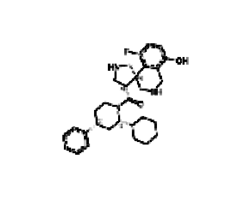 O=C([C@@H]1CNC[C@]12CNCc1c(O)ccc(F)c12)N1CC[C@@H](c2ccccc2)C[C@H]1C1CCCCC1